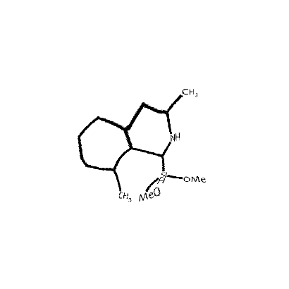 CO[SiH](OC)C1NC(C)CC2CCCC(C)C21